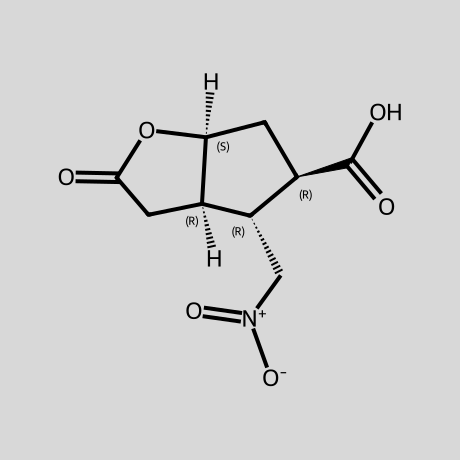 O=C1C[C@@H]2[C@@H](C[N+](=O)[O-])[C@H](C(=O)O)C[C@@H]2O1